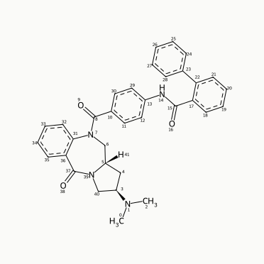 CN(C)[C@@H]1C[C@H]2CN(C(=O)c3ccc(NC(=O)c4ccccc4-c4ccccc4)cc3)c3ccccc3C(=O)N2C1